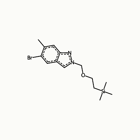 Cc1cc2nn(COCC[Si](C)(C)C)cc2cc1Br